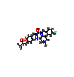 CC(C)C(O)Cc1ccc(CNC(=O)N(Cc2ccc(F)cc2)C2CCN(C)CC2)cc1